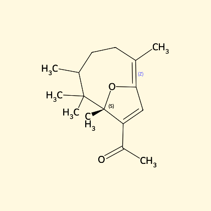 CC(=O)C1=C/C2=C(\C)CCC(C)C(C)(C)[C@]1(C)O2